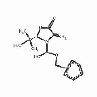 C=C1C(=O)O[C@@H](C(C)(C)C)N1C(O)OCc1ccccc1